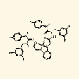 Cc1ccc(N(C)C(=O)C(Cc2cc(F)cc(F)c2)NC(=O)CN2c3ccccc3N(CC(=O)N[C@@H](Cc3cc(F)cc(F)c3)C(=O)N(C)c3ccc(C)nc3)S2(=O)=O)cn1